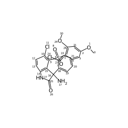 COc1ccc(S(=O)(=O)c2c(Cl)ccc3c2C(N)(c2ccccc2Cl)C(=O)N3)c(OC)c1